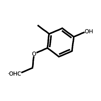 Cc1cc(O)ccc1OC[C]=O